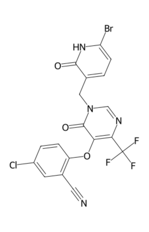 N#Cc1cc(Cl)ccc1Oc1c(C(F)(F)F)ncn(Cc2ccc(Br)[nH]c2=O)c1=O